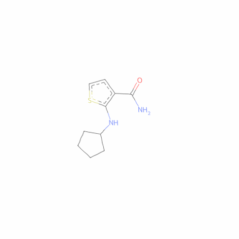 NC(=O)c1ccsc1NC1CCCC1